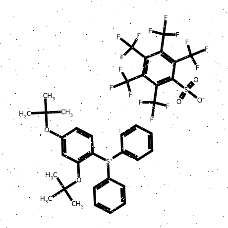 CC(C)(C)Oc1ccc([S+](c2ccccc2)c2ccccc2)c(OC(C)(C)C)c1.O=S(=O)([O-])c1c(C(F)(F)F)c(C(F)(F)F)c(C(F)(F)F)c(C(F)(F)F)c1C(F)(F)F